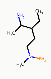 CCC(CCN(C)P)C(C)N